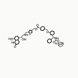 O=C(N[C@@H](c1ccccc1)c1cccc(OCc2ccc(C(=O)OCc3csc(CNC[C@H](O)c4ccc(O)c5[nH]c(=O)ccc45)c3)cc2)c1)O[C@H]1CN2CCC1CC2